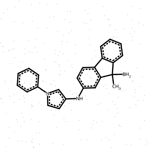 BC1(C)c2ccccc2-c2ccc(Nc3ccn(-c4ccccc4)c3)cc21